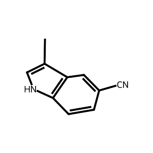 Cc1c[nH]c2ccc(C#N)cc12